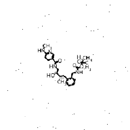 CNC1=NC=C(C(=O)NC[C@@H](O)[C@@H](C)Cc2ccccc2CNC(=O)OC(C)(C)C)CC1